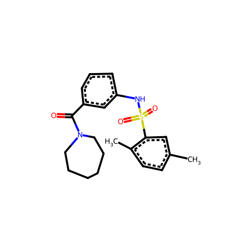 Cc1ccc(C)c(S(=O)(=O)Nc2cccc(C(=O)N3CCCCCC3)c2)c1